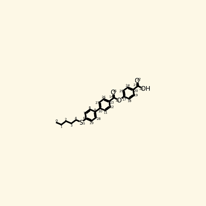 CCCCCSc1ccc(-c2ccc(C(=O)Oc3ccc(C(=O)O)cc3)cc2)cc1